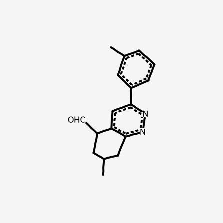 Cc1cccc(-c2cc3c(nn2)CC(C)CC3C=O)c1